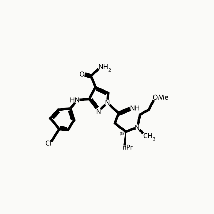 CCC[C@@H](CC(=N)n1cc(C(N)=O)c(Nc2ccc(Cl)cc2)n1)N(C)CCOC